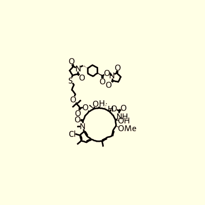 CO[C@@H]1/C=C/C=C(\C)Cc2cc(C)c(Cl)c(c2)N(C)C(=O)C[C@H](OC(=O)C(C)(C)OCCCSC2CC(=O)N(C[C@H]3CC[C@H](C(=O)ON4C(=O)CCC4=O)CC3)C2=O)[C@]2(C)O[C@H]2[C@H](C)[C@@H]2C[C@@]1(O)NC(=O)O2